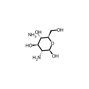 N.N[C@@H]1[C@@H](O)[C@H](O)[C@@H](CO)O[C@H]1O